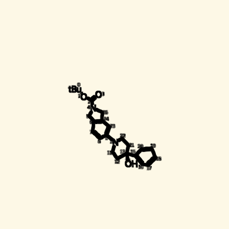 CC(C)(C)OC(=O)N1Cc2ccc(N3CCC(O)(c4ccccc4)CC3)cc2C1